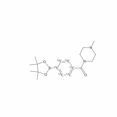 CN1CCN(C(=O)[13c]2[13cH][13cH][13c](B3OC(C)(C)C(C)(C)O3)[13cH][13cH]2)CC1